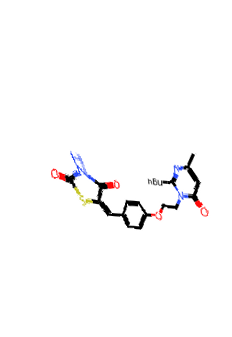 CCCCc1nc(C)cc(=O)n1CCOc1ccc(C=C2SC(=O)NC2=O)cc1